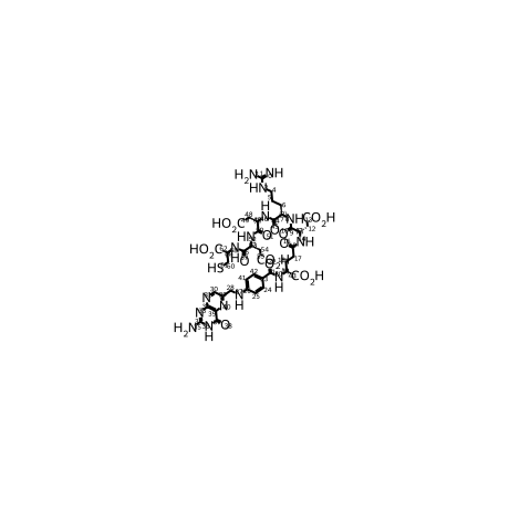 N=C(N)NCCC[C@@H](NC(=O)[C@H](CC(=O)O)NC(=O)CC[C@H](NC(=O)c1ccc(NCc2cnc3nc(N)[nH]c(=O)c3n2)cc1)C(=O)O)C(=O)N[C@H](CC(=O)O)C(=O)N[C@@H](CC(=O)O)C(=O)N[C@@H](CS)C(=O)O